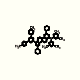 Cc1ccc(-c2cc(-c3ccc(C)cc3)cc(-c3cc(C4CCCCC4)cc4c3ccc3c5cc(C6CCCCC6)cc(N(c6cc(C)cc(C)c6)c6cc(C)cc(C)c6)c5ccc43)c2)cc1